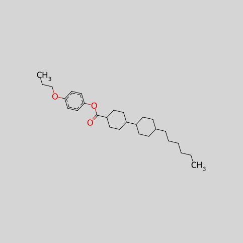 CCCCCCC1CCC(C2CCC(C(=O)Oc3ccc(OCCC)cc3)CC2)CC1